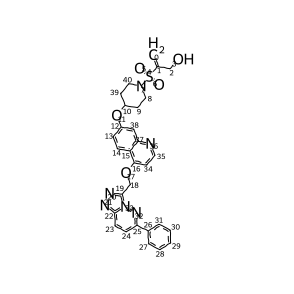 C=C(CO)S(=O)(=O)N1CCC(Oc2ccc3c(OCc4nnc5ccc(-c6ccccc6)nn45)ccnc3c2)CC1